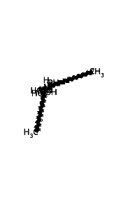 CCCCCCCCCCCCCCCCCCC(O)C(=O)N[C@H](CO)[C@H](O)C(O)CCCCCCCCCCCCCCCC